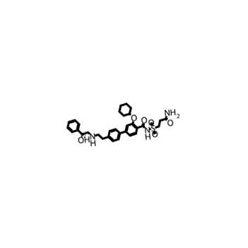 NC(=O)CCS(=O)(=O)NC(=O)c1ccc(-c2ccc(CCNC[C@H](O)c3ccccc3)cc2)cc1OC1CCCCC1